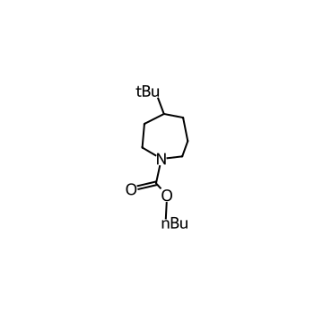 CCCCOC(=O)N1CCCC(C(C)(C)C)CC1